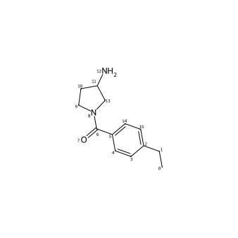 CCc1ccc(C(=O)N2CCC(N)C2)cc1